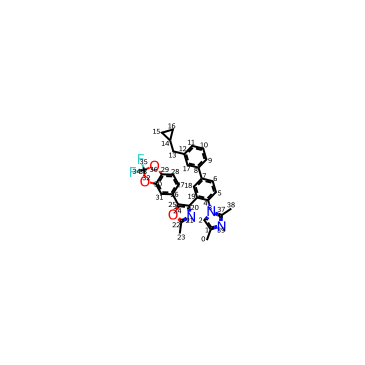 Cc1cn(-c2ccc(-c3cccc(CC4CC4)c3)cc2-c2nc(C)oc2-c2ccc3c(c2)OC(F)(F)O3)c(C)n1